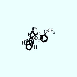 CC(C)n1nc(N[C@@H]2[C@@H]3CC[C@H]2CN(C(=O)O)C3)nc1Oc1ccccc1OC(F)(F)F